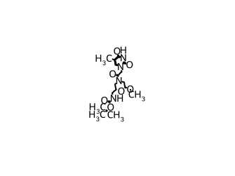 COC(=O)CN(CCCNC(=O)OC(C)(C)C)C(=O)Cn1cc(C)c(=O)[nH]c1=O